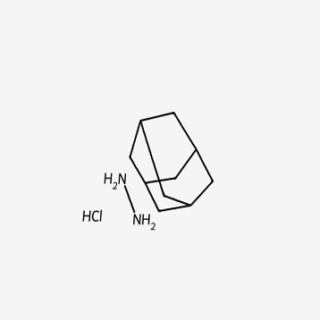 C1C2CC3CC1CC(C2)C3.Cl.NN